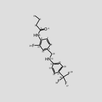 CCCC(=O)Nc1ccc(CNc2ccc(C(F)(F)F)cc2)cc1F